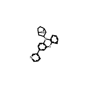 c1cncc(-c2ccc3c(c2)Sc2ccccc2N3C2CC3CCC(C2)N3)c1